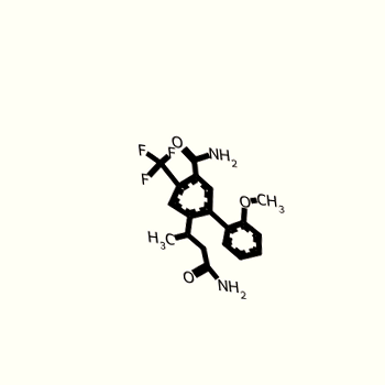 COc1ccccc1-c1cc(C(N)=O)c(C(F)(F)F)cc1C(C)CC(N)=O